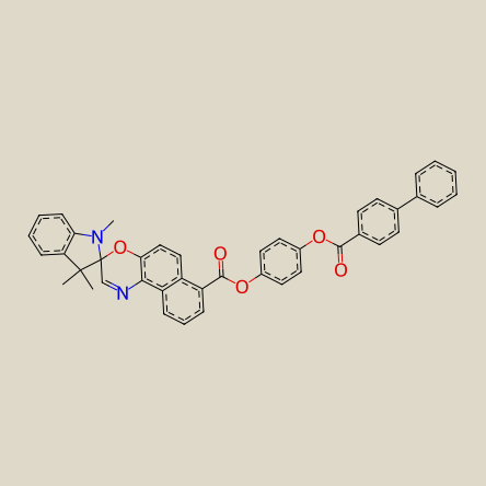 CN1c2ccccc2C(C)(C)C12C=Nc1c(ccc3c(C(=O)Oc4ccc(OC(=O)c5ccc(-c6ccccc6)cc5)cc4)cccc13)O2